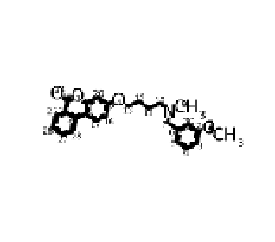 COc1cccc(CN(C)CCCCOc2ccc3c(c2)oc(=O)c2ccccc23)c1